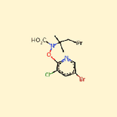 CC(C)CC(C)(C)N(Oc1ncc(Br)cc1Cl)C(=O)O